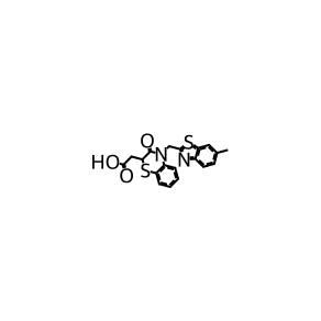 Cc1ccc2nc(CN3C(=O)C(CC(=O)O)Sc4ccccc43)sc2c1